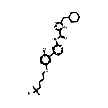 CC(C)(O)CCCCOc1ccc(Cl)c(-c2ccnc(NC(=O)c3nnc(CC4CCCCC4)[nH]3)c2)c1